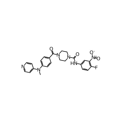 CN(c1ccncc1)c1ccc(C(=O)N2CCN(C(=O)Nc3ccc(F)c([N+](=O)[O-])c3)CC2)cc1